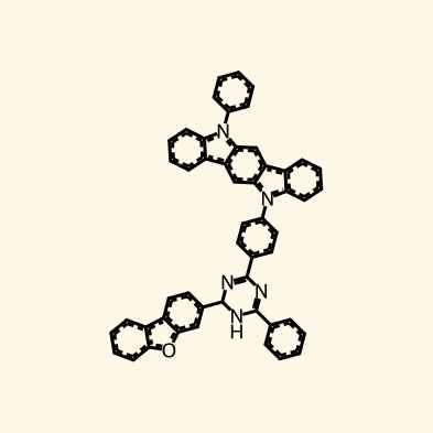 c1ccc(C2=NC(c3ccc(-n4c5ccccc5c5cc6c(cc54)c4ccccc4n6-c4ccccc4)cc3)=NC(c3ccc4c(c3)oc3ccccc34)N2)cc1